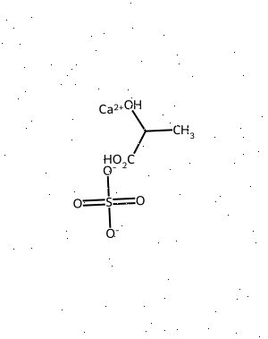 CC(O)C(=O)O.O=S(=O)([O-])[O-].[Ca+2]